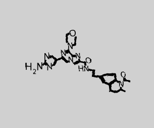 CC(=O)N1c2ccc(CCNC(=O)c3cn4cc(-c5cnc(N)nc5)nc(N5CCOCC5)c4n3)cc2CCC1C